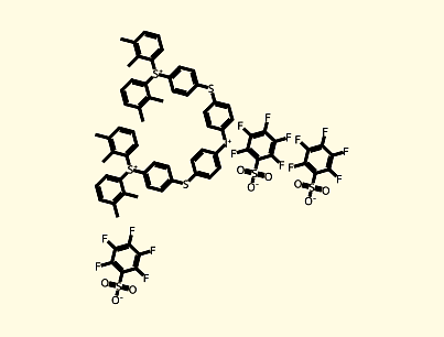 Cc1cccc([S+](c2ccc(Sc3ccc([I+]c4ccc(Sc5ccc([S+](c6cccc(C)c6C)c6cccc(C)c6C)cc5)cc4)cc3)cc2)c2cccc(C)c2C)c1C.O=S(=O)([O-])c1c(F)c(F)c(F)c(F)c1F.O=S(=O)([O-])c1c(F)c(F)c(F)c(F)c1F.O=S(=O)([O-])c1c(F)c(F)c(F)c(F)c1F